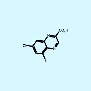 O=C(O)c1cnc2c(Br)cc(Cl)cc2n1